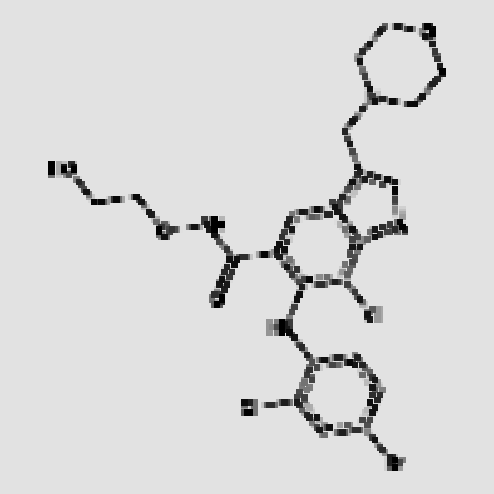 O=C(NOCCO)c1cn2c(CN3CCOCC3)cnc2c(Cl)c1Nc1ccc(Br)cc1Cl